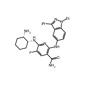 CCn1nc(C(C)C)c2cc(Nc3nc(N[C@@H]4CCCC[C@@H]4N)c(F)cc3C(N)=O)ccc21